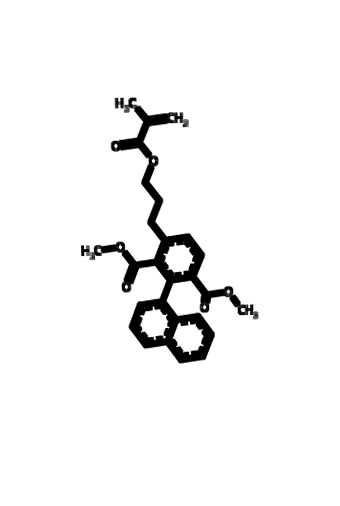 C=C(C)C(=O)OCCCc1ccc(C(=O)OC)c(-c2cccc3ccccc23)c1C(=O)OC